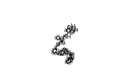 O=C1COc2c(CCNCCN(C(=O)CCOCCc3cccc(CN4CCC5(CC4)CN(C(=O)c4cc6ccccn6n4)CCO5)c3)C3CCCCC3)ccc(O)c2N1